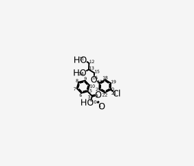 C=O.O=C(O)c1ccccc1.OCC(O)COc1ccc(Cl)cc1